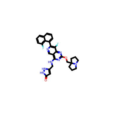 O=c1cc(CNc2nc(OCC34CCCN3CCC4)nc3c(F)c(-c4cccc5cccc(F)c45)ncc23)[nH][nH]1